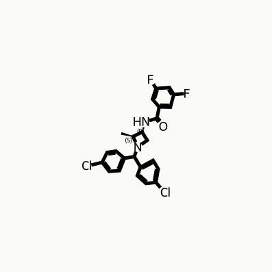 C[C@H]1[C@H](NC(=O)c2cc(F)cc(F)c2)CN1C(c1ccc(Cl)cc1)c1ccc(Cl)cc1